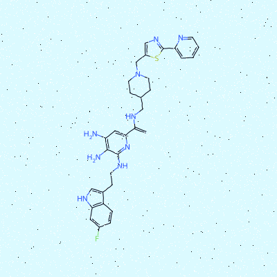 C=C(NCC1CCN(Cc2cnc(-c3ccccn3)s2)CC1)c1cc(N)c(N)c(NCCc2c[nH]c3cc(F)ccc23)n1